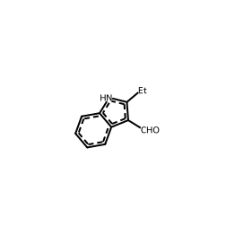 CCc1[nH]c2ccccc2c1C=O